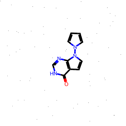 O=c1[nH]cnc2c1ccn2-n1cccc1